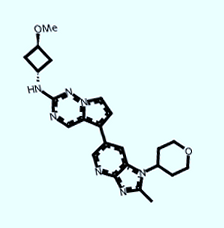 CO[C@H]1C[C@H](Nc2ncc3c(-c4cnc5nc(C)n(C6CCOCC6)c5c4)ccn3n2)C1